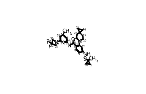 Cc1cc(NC(=O)c2ccc(NSC3(C)CC3)cc2N2CCC3(CC2)CC3)nc(N2CC(F)(F)C2)c1